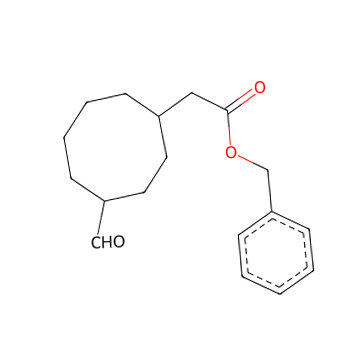 O=CC1CCCCC(CC(=O)OCc2ccccc2)CC1